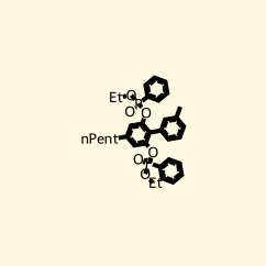 CCCCCc1cc(OP(=O)(OCC)c2ccccc2)c(-c2cccc(C)c2)c(OP(=O)(OCC)c2ccccc2)c1